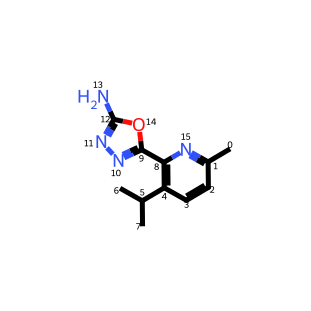 Cc1ccc(C(C)C)c(-c2nnc(N)o2)n1